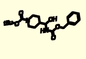 CC(C)(C)OC(=O)N1CCC(C(O)NC(=O)OCc2ccccc2)CC1